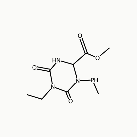 CCN1C(=O)NC(C(=O)OC)N(PC)C1=O